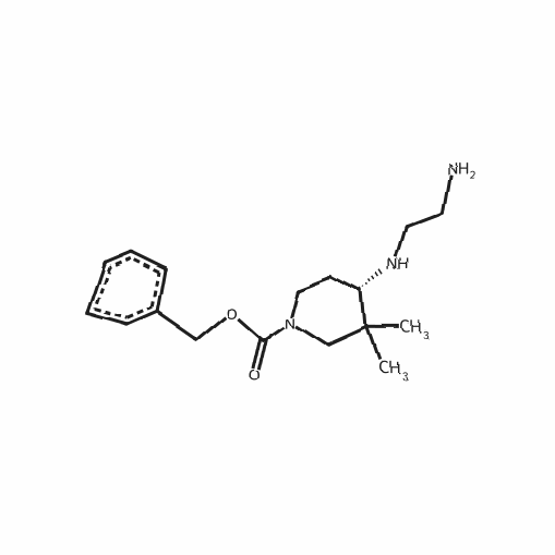 CC1(C)CN(C(=O)OCc2ccccc2)CC[C@@H]1NCCN